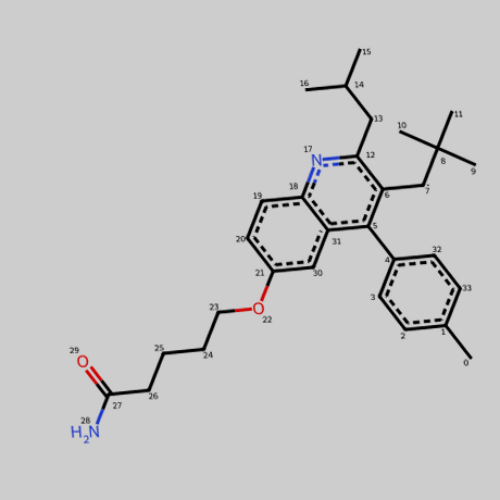 Cc1ccc(-c2c([CH]C(C)(C)C)c(CC(C)C)nc3ccc(OCCCCC(N)=O)cc23)cc1